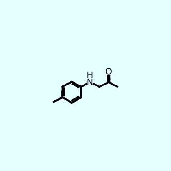 CC(=O)CNc1ccc(C)cc1